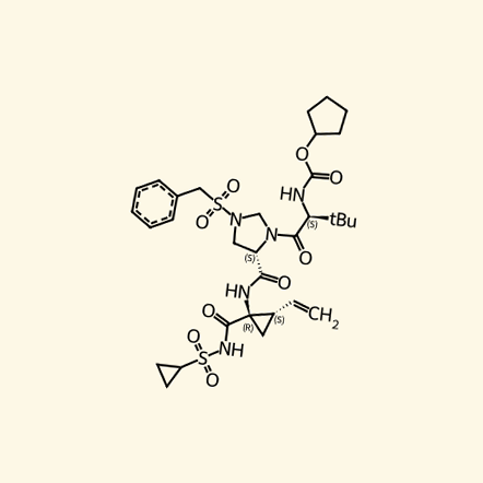 C=C[C@@H]1C[C@]1(NC(=O)[C@@H]1CN(S(=O)(=O)Cc2ccccc2)CN1C(=O)[C@@H](NC(=O)OC1CCCC1)C(C)(C)C)C(=O)NS(=O)(=O)C1CC1